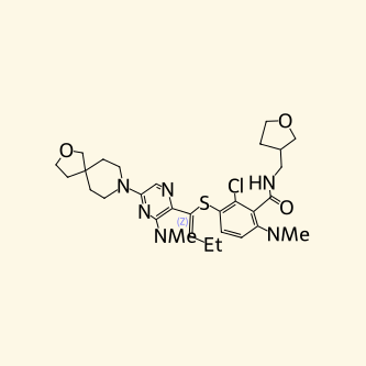 CC/C=C(\Sc1ccc(NC)c(C(=O)NCC2CCOC2)c1Cl)c1ncc(N2CCC3(CCOC3)CC2)nc1NC